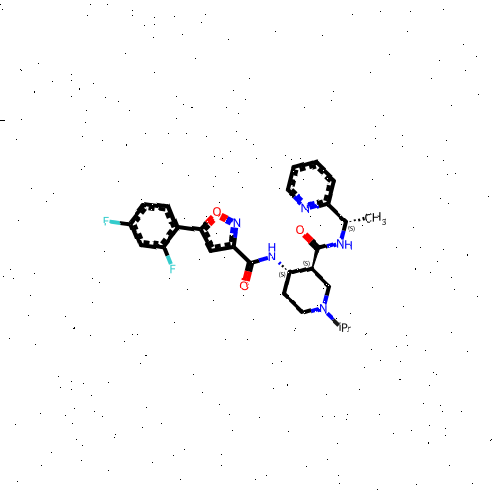 CC(C)N1CC[C@H](NC(=O)c2cc(-c3ccc(F)cc3F)on2)[C@@H](C(=O)N[C@@H](C)c2ccccn2)C1